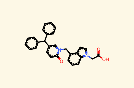 O=C(O)Cn1ccc2c(Cn3cc(C(c4ccccc4)c4ccccc4)ccc3=O)cccc21